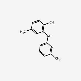 Cc1ccc(C#N)c(Nc2cccc(C)n2)c1